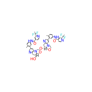 Cc1ccc(NC(=O)c2ccnc(C(C)(F)F)c2)cc1-c1cnc2c(c1)N1CC(OC[C@@H]3Cc4ncc(-c5cc(NC(=O)c6ccnc(C(C)(F)F)c6)ccc5C)cc4N4CCOC[C@@H]34)OC[C@@H]1[C@@H](CO)C2